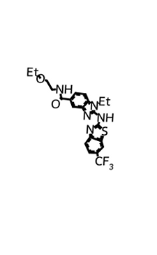 CCOCCNC(=O)c1ccc2c(c1)nc(Nc1nc3ccc(C(F)(F)F)cc3s1)n2CC